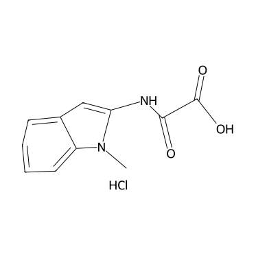 Cl.Cn1c(NC(=O)C(=O)O)cc2ccccc21